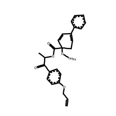 C=CCOc1ccc(C(=O)C(C)OC(=O)C2(OCCCCCC)C=CC(c3ccccc3)=CC2)cc1